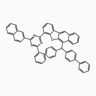 c1ccc(-c2ccc(N(c3ccccc3)c3c4ccccc4cc4c3oc3c(-c5nc(-c6ccccc6)nc(-c6ccc7ccccc7c6)n5)cccc34)cc2)cc1